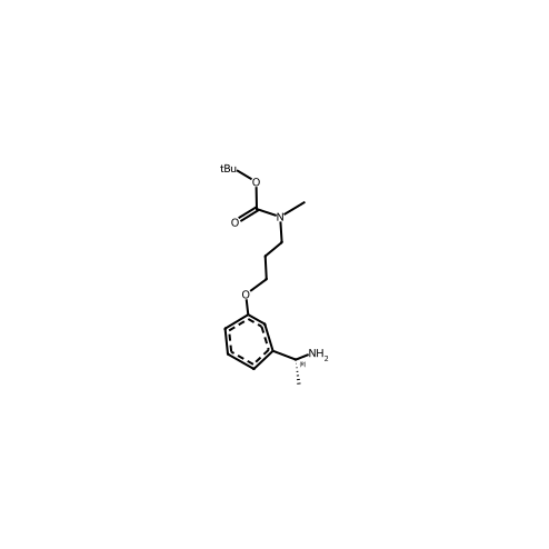 C[C@@H](N)c1cccc(OCCCN(C)C(=O)OC(C)(C)C)c1